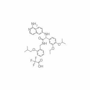 CCOc1cc(C(Nc2ccc3c(N)nccc3c2)C(=O)NCc2ccccc2OCC(C)C)ccc1OC(C)C.O=C(O)C(F)(F)F